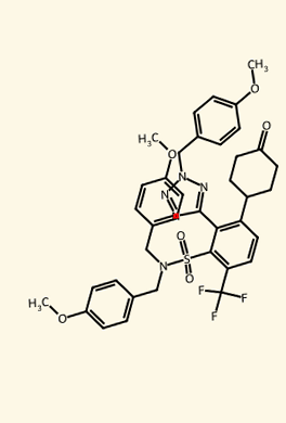 COc1ccc(CN(Cc2ccc(OC)cc2)S(=O)(=O)c2c(C(F)(F)F)ccc(C3CCC(=O)CC3)c2-c2nnn(Cc3ccc(OC)cc3)n2)cc1